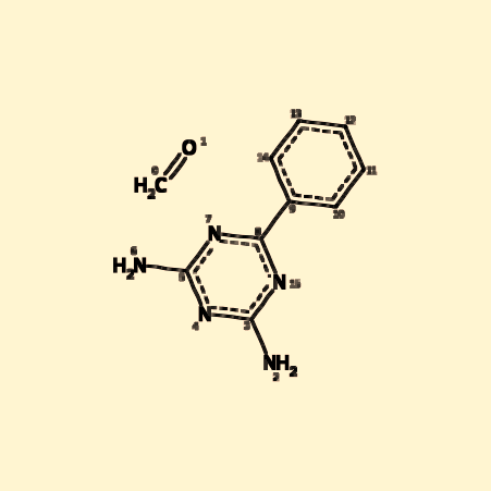 C=O.Nc1nc(N)nc(-c2ccccc2)n1